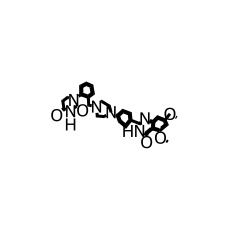 COc1cc(OC)c2c(=O)[nH]c(-c3ccc(N4CCN(Cc5ccccc5N5CCC(=O)NC5=O)CC4)cc3)nc2c1